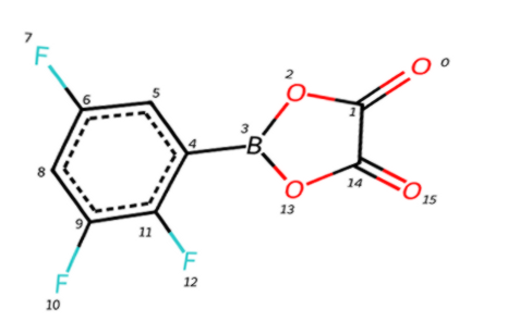 O=C1OB(c2cc(F)cc(F)c2F)OC1=O